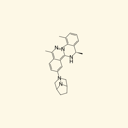 Cc1cccc([C@@H](C)Nc2nnc(C)c3ccc(N4CC5CCC(C4)N5C)cc23)c1C